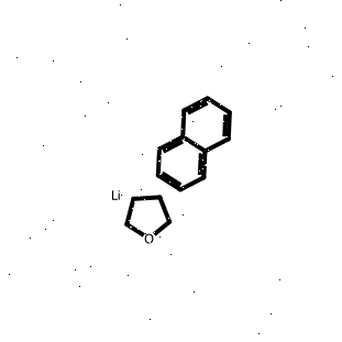 C1CCOC1.[Li].c1ccc2ccccc2c1